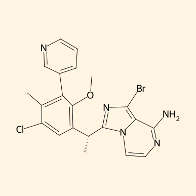 COc1c([C@@H](C)c2nc(Br)c3c(N)nccn23)cc(Cl)c(C)c1-c1cccnc1